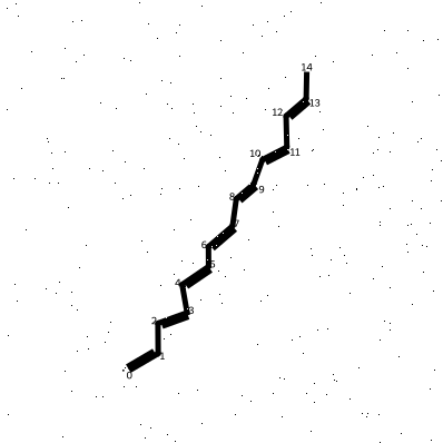 [CH]=C/C=C/C=C/C=C/C=C/C=C/C=C/C